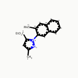 CCOC(=O)c1cc(C)nn1-c1cc2ccccc2cc1SC